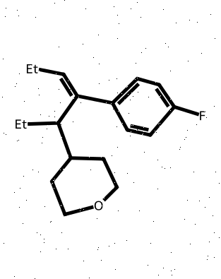 [CH2]CC=C(c1ccc(F)cc1)C(CC)C1CCOCC1